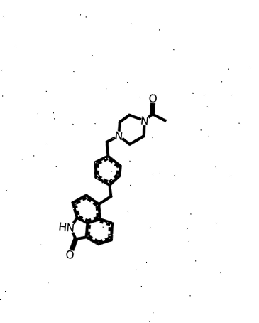 CC(=O)N1CCN(Cc2ccc(Cc3ccc4c5c(cccc35)C(=O)N4)cc2)CC1